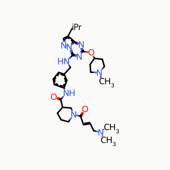 CC(C)c1cnn2c(NCc3cccc(NC(=O)C4CCCN(C(=O)C=CCN(C)C)C4)c3)nc(OC3CCN(C)CC3)nc12